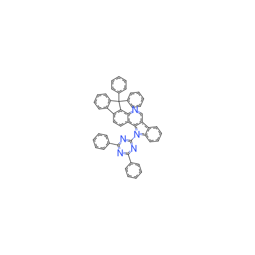 c1ccc(-c2nc(-c3ccccc3)nc(-n3c4ccccc4c4cnc5c6c(ccc5c43)-c3ccccc3C6(c3ccccc3)c3ccccc3)n2)cc1